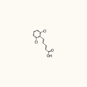 O=C(O)/C=C/C=C/c1c(Cl)cccc1Cl